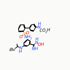 CCC(C)C(C)Nc1cccc(C(=N)NO)c1.NS(=O)(=O)c1ccccc1-c1ccc(NC(=O)O)cc1